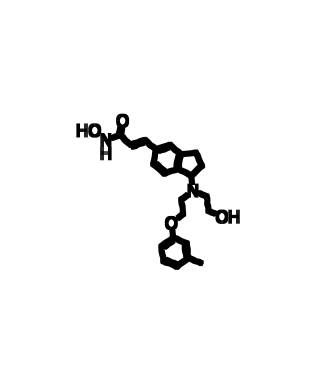 Cc1cccc(OCCN(CCO)C2CCc3cc(/C=C/C(=O)NO)ccc32)c1